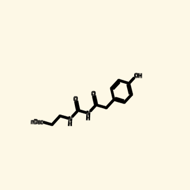 CCCCCCCCCCCCNC(=O)NC(=O)Cc1ccc(O)cc1